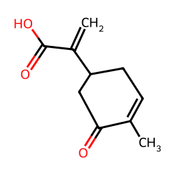 C=C(C(=O)O)C1CC=C(C)C(=O)C1